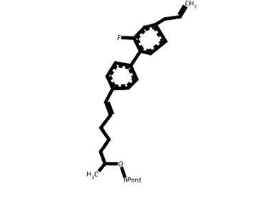 C=CCc1ccc(-c2ccc(/C=C/CCCC(C)OCCCCC)cc2)c(F)c1